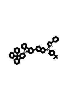 CC(C)(C)c1ccc(N(c2ccc3cc(-c4ccc5c(c4)c4ccccc4n5-c4ccc5c(c4)C(c4ccccc4)(c4ccccc4)c4ccccc4-5)ccc3c2)c2ccc(-c3ccccc3)s2)cc1